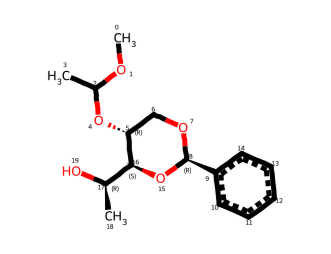 COC(C)O[C@@H]1CO[C@@H](c2ccccc2)O[C@H]1[C@@H](C)O